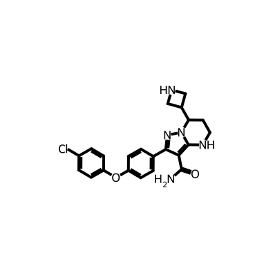 NC(=O)c1c(-c2ccc(Oc3ccc(Cl)cc3)cc2)nn2c1NCCC2C1CNC1